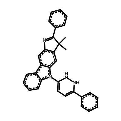 CC1(C)C(c2ccccc2)=Nc2cc3c4ccccc4n(C4=CC=C(c5ccccc5)NN4)c3cc21